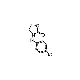 CCc1ccc(NN2CCOC2=O)cc1